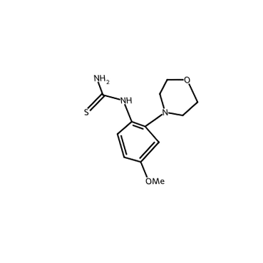 COc1ccc(NC(N)=S)c(N2CCOCC2)c1